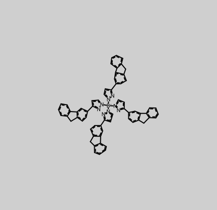 c1ccc2c(c1)Cc1ccc(-c3ccn([B-](n4ccc(-c5ccc6c(c5)-c5ccccc5C6)n4)(n4ccc(-c5ccc6c(c5)-c5ccccc5C6)n4)n4ccc(-c5ccc6c(c5)-c5ccccc5C6)n4)n3)cc1-2